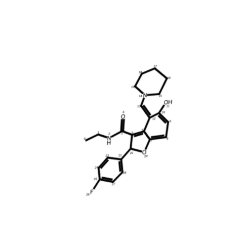 CCNC(=O)C1=c2c(ccc(O)c2=CN2CCCCC2)OC1c1ccc(F)cc1